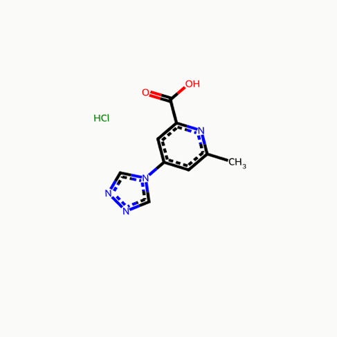 Cc1cc(-n2cnnc2)cc(C(=O)O)n1.Cl